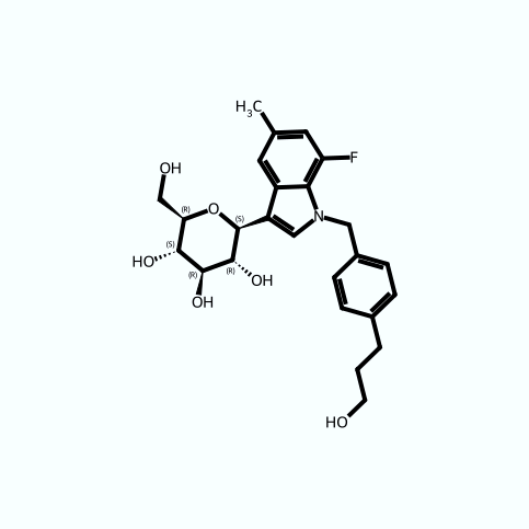 Cc1cc(F)c2c(c1)c([C@@H]1O[C@H](CO)[C@@H](O)[C@H](O)[C@H]1O)cn2Cc1ccc(CCCO)cc1